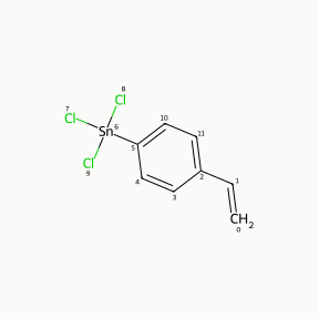 C=Cc1cc[c]([Sn]([Cl])([Cl])[Cl])cc1